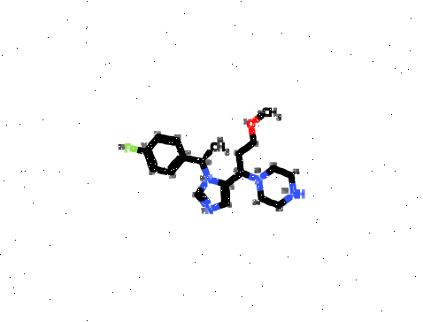 COCCC(c1cncn1[C@H](C)c1ccc(F)cc1)N1CCNCC1